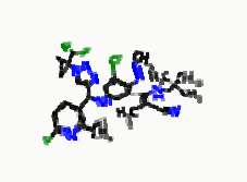 C=Nc1c(Cl)cc(N[C@H](c2cn(C3(C(F)F)CC3)nn2)c2ccc(F)nc2C)cc1/C(NCC(C)(C)C)=C(\C)C#N